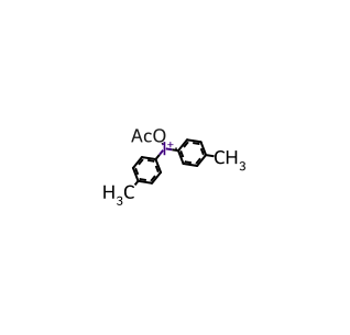 CC(=O)O[I+](c1ccc(C)cc1)c1ccc(C)cc1